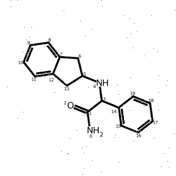 NC(=O)C(NC1Cc2ccccc2C1)c1ccccc1